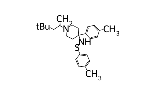 C=C(CC(C)(C)C)N1CCC(NSc2ccc(C)cc2)(c2ccc(C)cc2)CC1